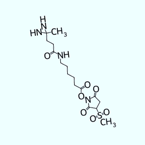 CC1(CCC(=O)NCCCCCC(=O)ON2C(=O)CC(S(C)(=O)=O)C2=O)NN1